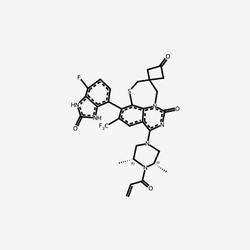 C=CC(=O)N1[C@H](C)CN(c2nc(=O)n3c4c(c(-c5ccc(F)c6[nH]c(=O)[nH]c56)c(C(F)(F)F)cc24)SCC2(CC(=O)C2)C3)C[C@@H]1C